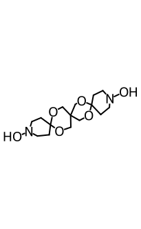 ON1CCC2(CC1)OCC1(CO2)COC2(CCN(O)CC2)OC1